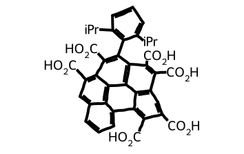 CC(C)c1cccc(C(C)C)c1-c1c(C(=O)O)c2c(C(=O)O)cc3cccc4c5c(C(=O)O)c(C(=O)O)cc6c(C(=O)O)c(C(=O)O)c1c(c65)c2c34